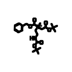 CC(C)(C)OC(=O)C[N+](C)(CCNC(=O)OC(C)(C)C)C(=O)OCc1ccccc1